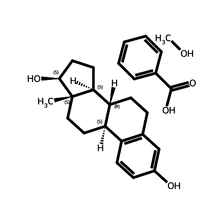 CO.C[C@]12CC[C@@H]3c4ccc(O)cc4CC[C@H]3[C@@H]1CC[C@@H]2O.O=C(O)c1ccccc1